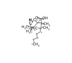 CCCCCC(C)(C)C(C)(C(=O)O)C(C)CC(C)(C)C